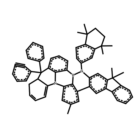 Cc1cc2c3c(c1)N1C4=CC=CCC4C(c4c#cccc4)(c4ccccc4)c4cccc(c41)B3N(c1ccc3c(c1)C(C)(C)CCC3(C)C)c1cc3c(cc1-2)-c1ccccc1C3(C)C